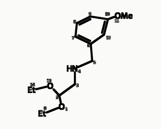 CCOC(CNCc1cccc(OC)c1)OCC